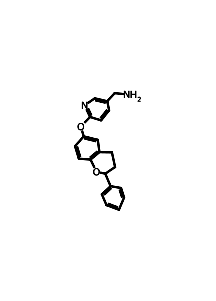 NCc1ccc(Oc2ccc3c(c2)CCC(c2ccccc2)O3)nc1